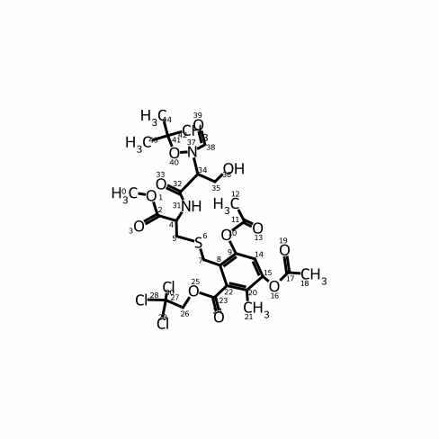 COC(=O)C(CSCc1c(OC(C)=O)cc(OC(C)=O)c(C)c1C(=O)OCC(Cl)(Cl)Cl)NC(=O)C(CO)N(C=O)OC(C)(C)C